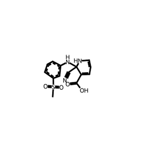 CS(=O)(=O)c1cccc(NC2(C#N)NC=CC=C2C(=O)O)c1